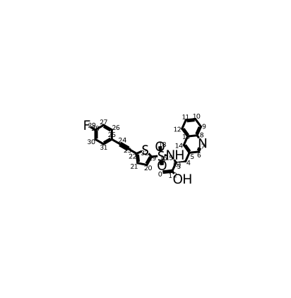 C=C(O)[C@H](Cc1cnc2ccccc2c1)NS(=O)(=O)c1ccc(C#Cc2ccc(F)cc2)s1